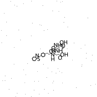 NC(=O)C(CCC(=O)O)NC(=O)C(CCC(=O)O)NC(=O)CCc1ccc(-c2nc3ccccc3s2)cc1